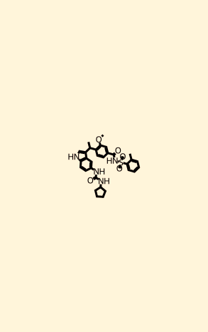 COc1cc(C(=O)NS(=O)(=O)c2ccccc2C)ccc1C(C)c1c[nH]c2ccc(NC(=O)NC3CCCC3)cc12